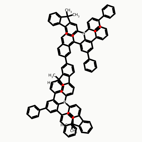 CC1(C)c2ccccc2-c2ccc(N(c3ccc4c(c3)C(C)(C)c3cc(-c5ccc6cccc(-c7cc(-c8ccccc8)cc(-c8ccccc8)c7N(c7ccc(-c8ccccc8)cc7)c7ccc8c(c7)C(C)(C)c7ccccc7-8)c6c5)ccc3-4)c3c(-c4ccccc4)cc(-c4ccccc4)cc3-c3ccc4ccccc4c3)cc21